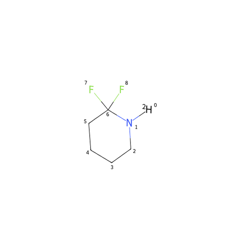 [2H]N1CCCCC1(F)F